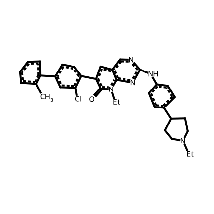 CCN1CCC(c2ccc(Nc3ncc4cc(-c5ccc(-c6ccccc6C)cc5Cl)c(=O)n(CC)c4n3)cc2)CC1